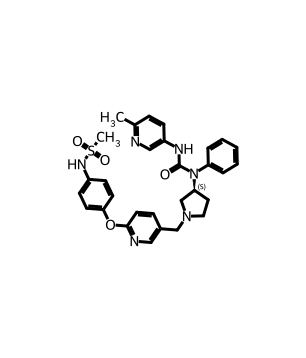 Cc1ccc(NC(=O)N(c2ccccc2)[C@H]2CCN(Cc3ccc(Oc4ccc(NS(C)(=O)=O)cc4)nc3)C2)cn1